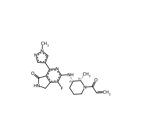 C=CC(=O)N1CCC[C@H](Nc2nc(-c3cnn(C)c3)c3c(c2F)CNC3=O)[C@@H]1C